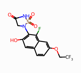 O=C1CN(c2c(O)cc3ccc(OCC(F)(F)F)cc3c2F)S(=O)(=O)N1